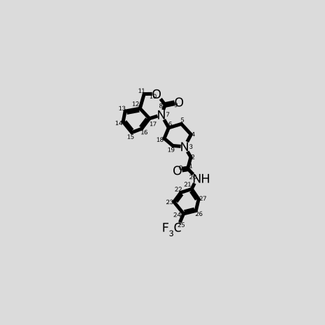 O=C(CN1CCC(N2C(=O)OCc3ccccc32)CC1)Nc1ccc(C(F)(F)F)cc1